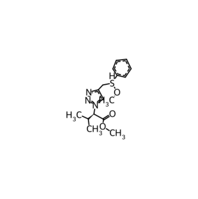 COC(=O)[C@@H](C(C)C)n1cc(C[SH](OC)c2ccccc2)nn1